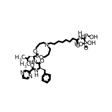 CC(C)C[C@@H](NC(=O)[C@@H](Cc1ccccc1)NC(=O)c1cnccn1)B1OCCCN(CCCCCCCC(=O)NC(PO)P(=O)(O)O)CCCO1